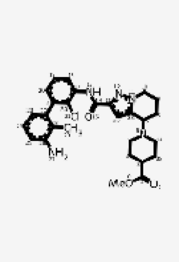 COC(=O)C1CCN(C2CCCn3nc(C(=O)Nc4cccc(-c5cccc(N)c5C)c4Cl)cc32)CC1